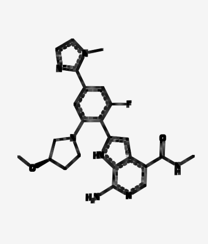 CNC(=O)c1cnc(N)c2[nH]c(-c3c(F)cc(-c4nccn4C)cc3N3CC[C@@H](OC)C3)cc12